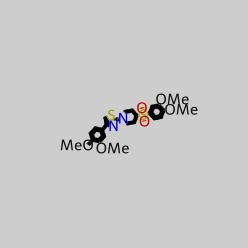 COc1ccc(-c2csc(N3CCC(S(=O)(=O)c4ccc(OC)c(OC)c4)CC3)n2)cc1OC